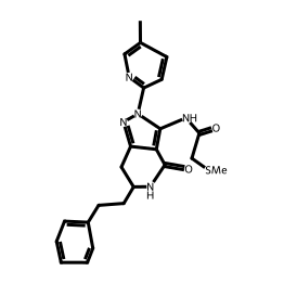 CSCC(=O)Nc1c2c(nn1-c1ccc(C)cn1)CC(CCc1ccccc1)NC2=O